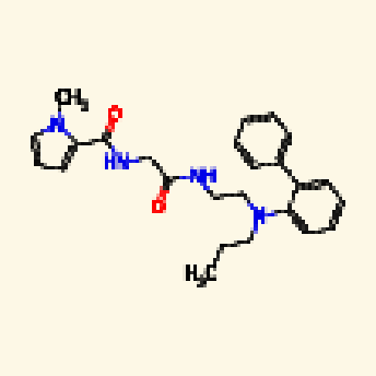 CCCN(CCNC(=O)CNC(=O)c1cccn1C)c1ccccc1-c1ccccc1